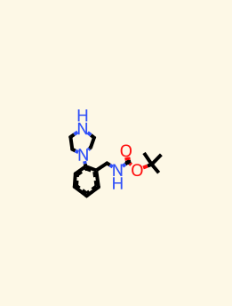 CC(C)(C)OC(=O)NCc1ccccc1N1CCNCC1